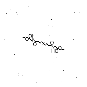 CCOC(=O)CNC(=O)CCSSCCC(=O)NCC(=O)OCC